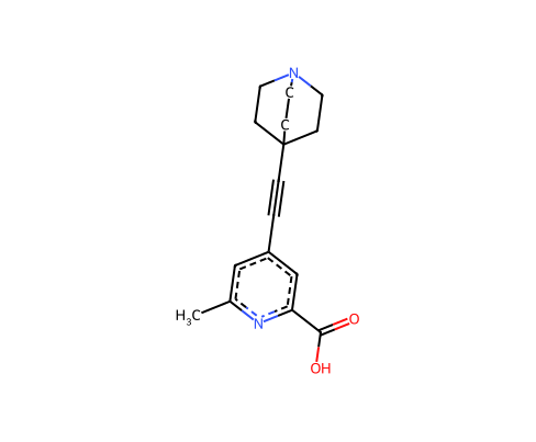 Cc1cc(C#CC23CCN(CC2)CC3)cc(C(=O)O)n1